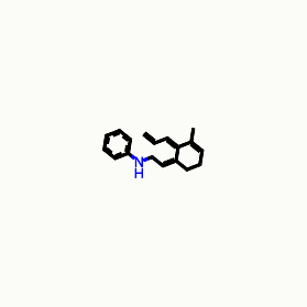 C=C/C=C1/C(C)=CCC/C1=C/CNc1ccccc1